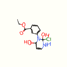 CCOC(=O)c1cccc(N2C(O)C=CNC2(O)Cl)c1